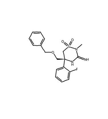 CN1C(=N)N[C@](COCc2ccccc2)(c2ccccc2F)CS1(=O)=O